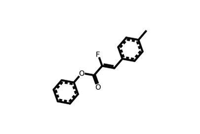 Cc1ccc(C=C(F)C(=O)Oc2ccccc2)cc1